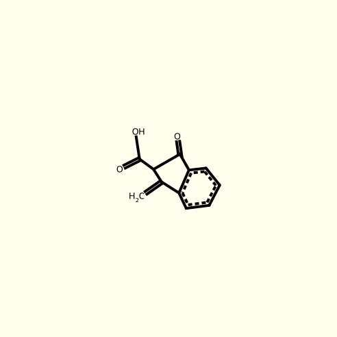 C=C1c2ccccc2C(=O)C1C(=O)O